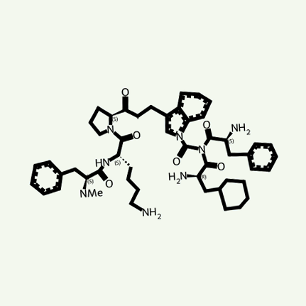 CN[C@@H](Cc1ccccc1)C(=O)N[C@@H](CCCCN)C(=O)N1CCC[C@H]1C(=O)[CH]Cc1cn(C(=O)N(C(=O)[C@H](N)CC2CCCCC2)C(=O)[C@@H](N)Cc2ccccc2)c2ccccc12